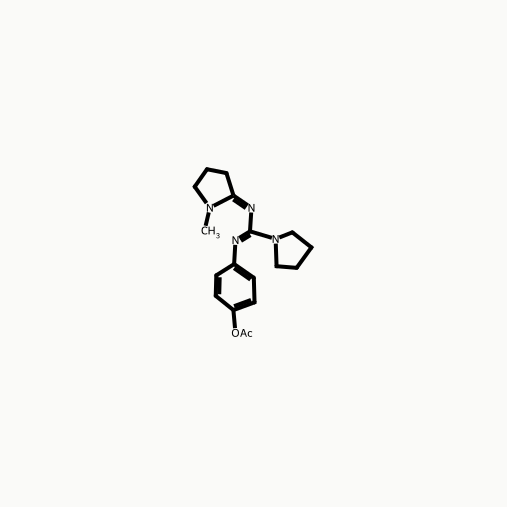 CC(=O)Oc1ccc(N=C(N=C2CCCN2C)N2CCCC2)cc1